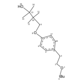 CC(C)(C)OCCc1ccc(OCC(C)(C)C(C)(C)O)cc1